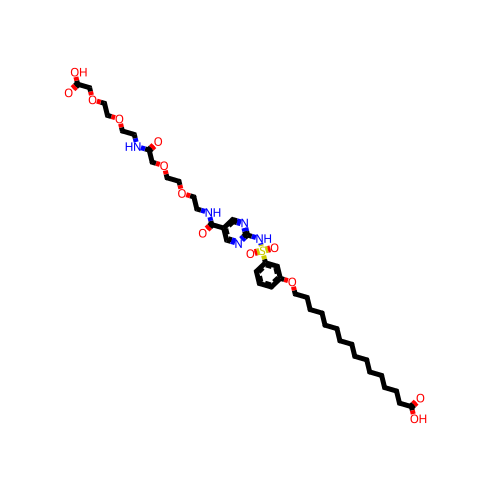 O=C(O)CCCCCCCCCCCCCCCOc1cccc(S(=O)(=O)Nc2ncc(C(=O)NCCOCCOCC(=O)NCCOCCOCC(=O)O)cn2)c1